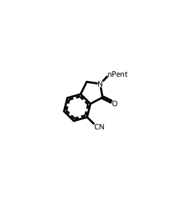 CCCCCN1Cc2cccc(C#N)c2C1=O